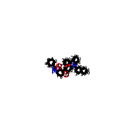 c1ccc(-c2nc3ccc4oc5cc(N(c6ccc7ccccc7c6)c6ccccc6-c6ccccc6)ccc5c4c3o2)cc1